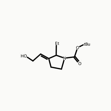 CCC1C(=CCO)CCN1C(=O)OC(C)(C)C